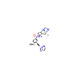 CN1CCN(Cc2ccc(NC(=O)c3ccc(C(C)(C)C)c(C#Cc4cnc5cccnn45)c3)cc2C(F)(F)F)CC1